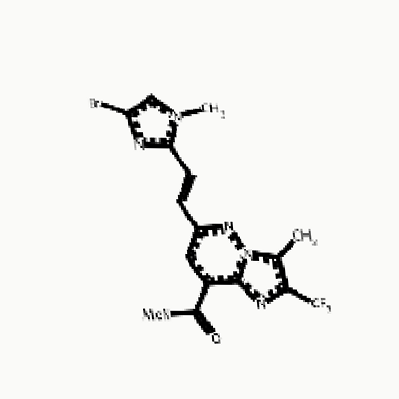 CNC(=O)c1cc(C=Cc2nc(Br)cn2C)nn2c(C)c(C(F)(F)F)nc12